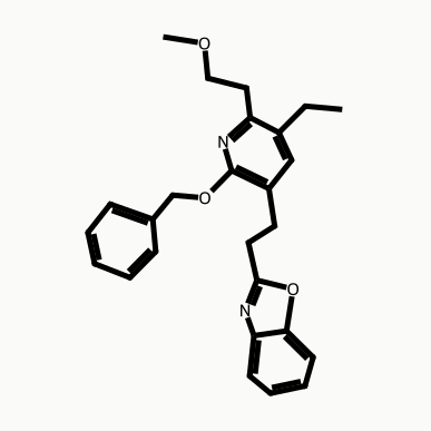 CCc1cc(CCc2nc3ccccc3o2)c(OCc2ccccc2)nc1CCOC